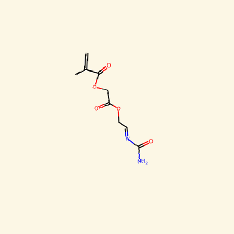 C=C(C)C(=O)OCC(=O)OCC=NC(N)=O